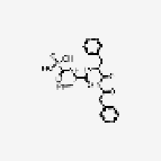 CC(C)C[C@H](NC(=O)P(=O)(O)O)C(=O)N[C@@H](Cc1ccccc1)C(=O)NC(=O)Cc1ccccc1